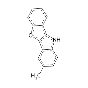 Cc1ccc2[nH]c3c4ccccc4oc3c2c1